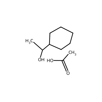 CC(=O)O.CC(O)C1CCCCC1